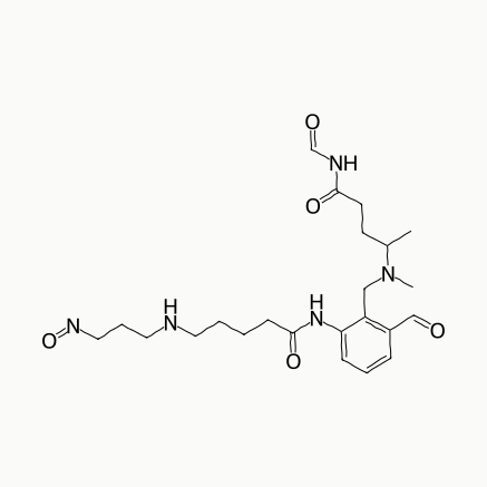 CC(CCC(=O)NC=O)N(C)Cc1c(C=O)cccc1NC(=O)CCCCNCCCN=O